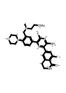 COCCN(C)Cc1cc(-c2nc(-c3cc(F)c4c(c3)CCNC4=O)c(N)nc2F)ccc1N1CCOCC1